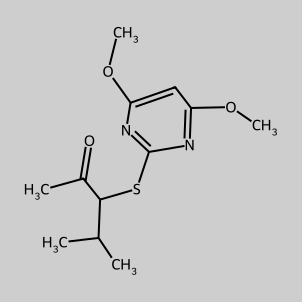 COc1cc(OC)nc(SC(C(C)=O)C(C)C)n1